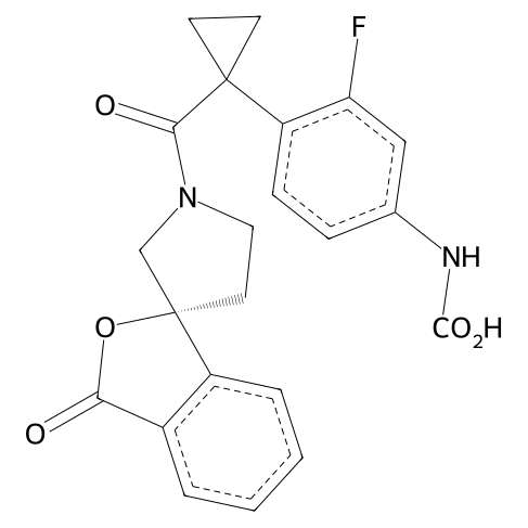 O=C(O)Nc1ccc(C2(C(=O)N3CC[C@@]4(C3)OC(=O)c3ccccc34)CC2)c(F)c1